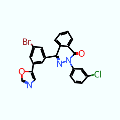 O=c1c2ccccc2c(-c2cc(Br)cc(-c3cnco3)c2)nn1-c1cccc(Cl)c1